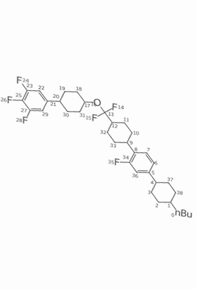 CCCCC1CCC(c2ccc(C3CCC(C(F)(F)OC4CCC(c5cc(F)c(F)c(F)c5)CC4)CC3)c(F)c2)CC1